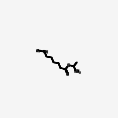 CC(C)NCCCCCC(=O)OC(C)N